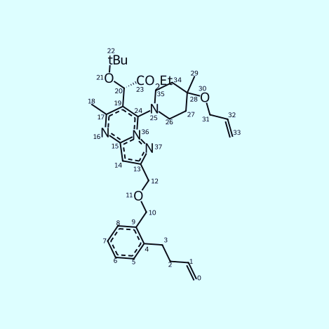 C=CCCc1ccccc1COCc1cc2nc(C)c([C@H](OC(C)(C)C)C(=O)OCC)c(N3CCC(C)(OCC=C)CC3)n2n1